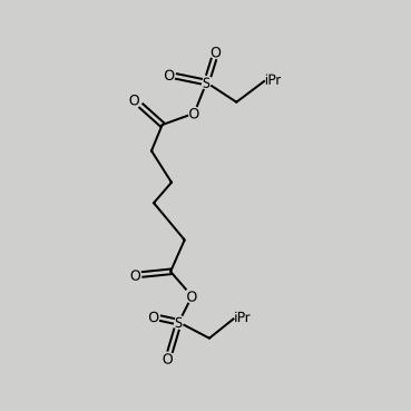 CC(C)CS(=O)(=O)OC(=O)CCCCC(=O)OS(=O)(=O)CC(C)C